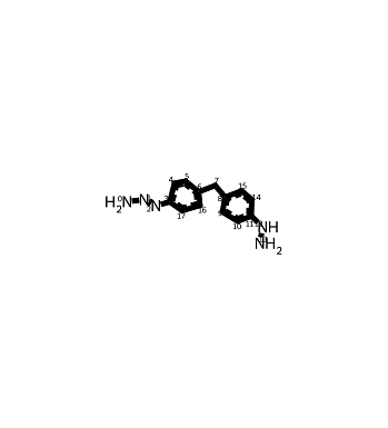 NN=Nc1ccc(Cc2ccc(NN)cc2)cc1